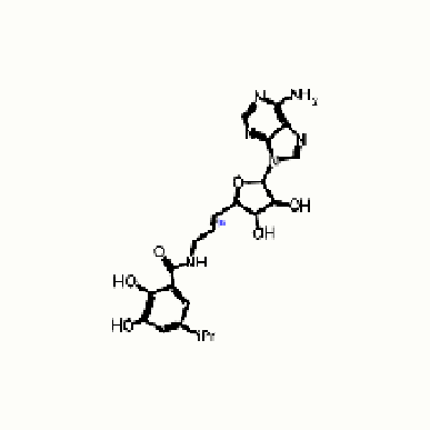 CC(C)c1cc(O)c(O)c(C(=O)NC/C=C/C2OC(n3cnc4c(N)ncnc43)C(O)C2O)c1